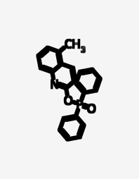 Cc1cccc2nc(OP(=O)(c3ccccc3)c3ccccc3)ccc12